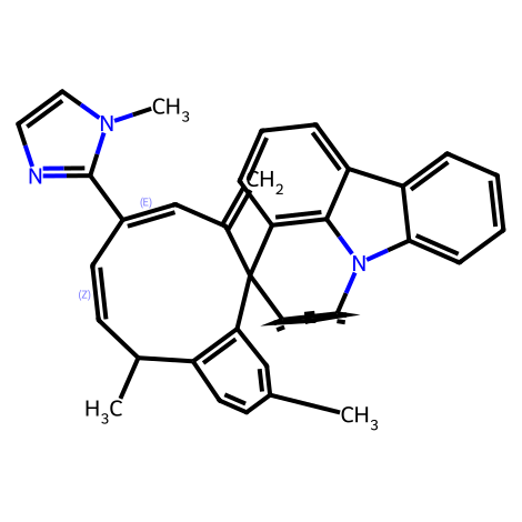 C=C1/C=C(c2nccn2C)\C=C/C(C)c2ccc(C)cc2C12c1ccccc1-n1c3ccccc3c3cccc2c31